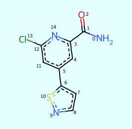 NC(=O)c1cc(-c2ccns2)cc(Cl)n1